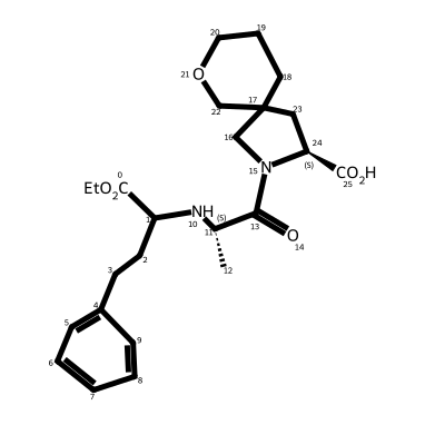 CCOC(=O)C(CCc1ccccc1)N[C@@H](C)C(=O)N1CC2(CCCOC2)C[C@H]1C(=O)O